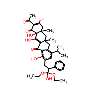 CCOC(O)(OCC)C(Cc1cc(C(C)C)c2c(c1O)C(=O)C1=C(O)C3(O)C(=O)C(C(C)=O)=C(O)CC3(C)CC1(C)C2)c1ccccc1